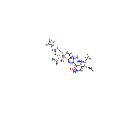 CC#Cc1c(C2CC2)[nH]c2c(-c3nc4c(OCC(F)F)c(C5CCN(CC6COC6)CC5)ccc4[nH]3)c(=O)[nH]cc12